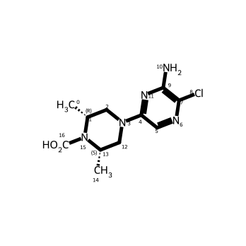 C[C@@H]1CN(c2cnc(Cl)c(N)n2)C[C@H](C)N1C(=O)O